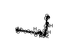 CC(=O)C1(C(=O)CCOCCOCCOCCOCCNC(=O)CCN2C(=O)CC(SC[C@H](NC(=O)COCC(=O)Nc3ccc(CCC(=O)N4CCC4=O)cc3)C(=O)C(C(C)=O)(C(C)=O)C(C)=O)C2=O)SS1